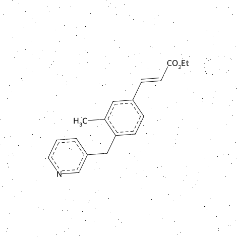 CCOC(=O)C=Cc1ccc(Cc2cccnc2)c(C)c1